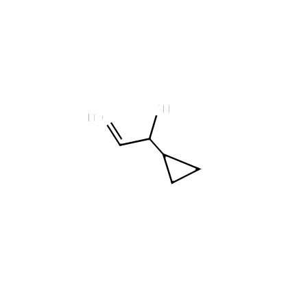 [CH2]C(C=C)C1CC1